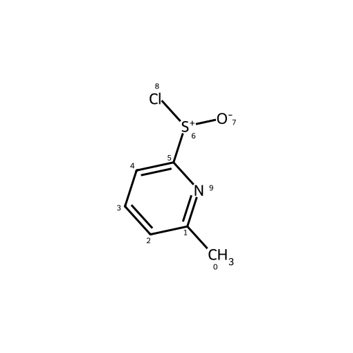 Cc1cccc([S+]([O-])Cl)n1